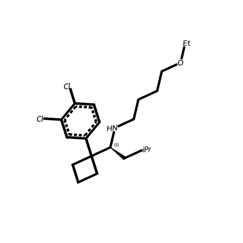 CCOCCCCN[C@@H](CC(C)C)C1(c2ccc(Cl)c(Cl)c2)CCC1